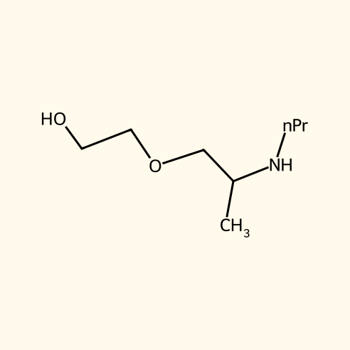 CCCNC(C)COCCO